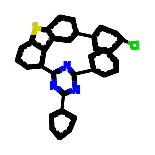 Clc1ccc(-c2ccc3sc4cccc(-c5nc(-c6ccccc6)nc(-c6ccccc6)n5)c4c3c2)cc1